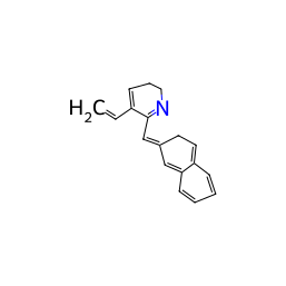 C=CC1=CCCN=C1/C=C1/C=c2ccccc2=CC1